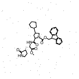 COC(=O)[C@H](C[C@@H]1CCNC1=O)NC(=O)C1CC(C2CCCCC2)CN1C(=O)OCC1c2ccccc2-c2ccccc21